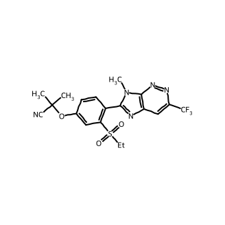 CCS(=O)(=O)c1cc(OC(C)(C)C#N)ccc1-c1nc2cc(C(F)(F)F)nnc2n1C